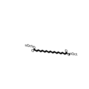 CCCCCCCCOC(=O)CCCCCCCCCCCCCCCC(=O)OCCCCCCCC